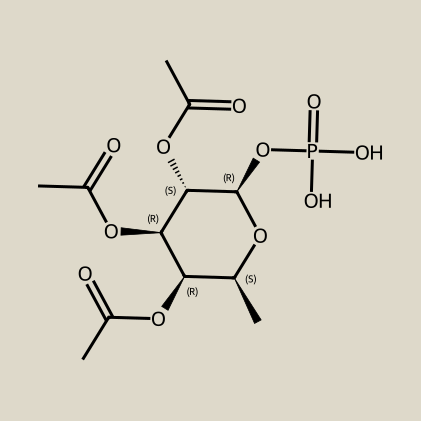 CC(=O)O[C@H]1[C@H](OC(C)=O)[C@@H](OP(=O)(O)O)O[C@@H](C)[C@H]1OC(C)=O